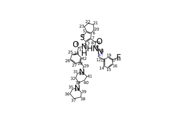 O=C(Nc1sc2c(c1C(=O)N/N=C/c1cccc(F)c1)CCCC2)c1cccc(CN2CCC(N3CCCCC3)CC2)c1